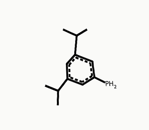 CC(C)c1cc(P)cc(C(C)C)c1